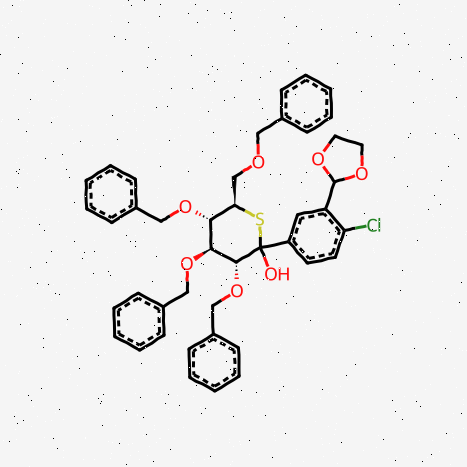 OC1(c2ccc(Cl)c(C3OCCO3)c2)S[C@H](COCc2ccccc2)[C@@H](OCc2ccccc2)[C@H](OCc2ccccc2)[C@H]1OCc1ccccc1